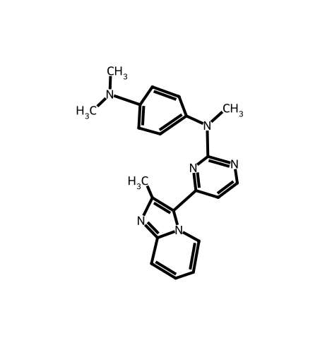 Cc1nc2ccccn2c1-c1ccnc(N(C)c2ccc(N(C)C)cc2)n1